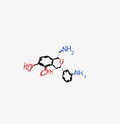 NC[C@@H]1O[C@H](c2cccc(N)c2)Cc2c1ccc(O)c2O